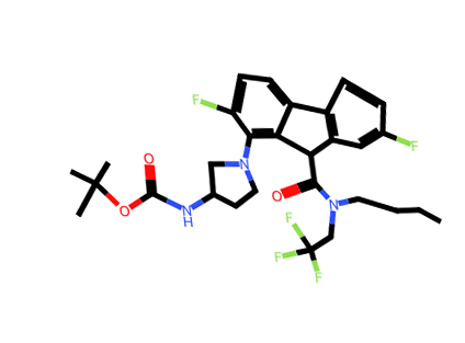 CCCCN(CC(F)(F)F)C(=O)C1c2cc(F)ccc2-c2ccc(F)c(N3CCC(NC(=O)OC(C)(C)C)C3)c21